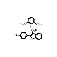 CCc1ccc(-c2[nH]c3ccccc3c2C(=O)O)cc1.Cc1c(C(=O)O)cccc1C(=O)O